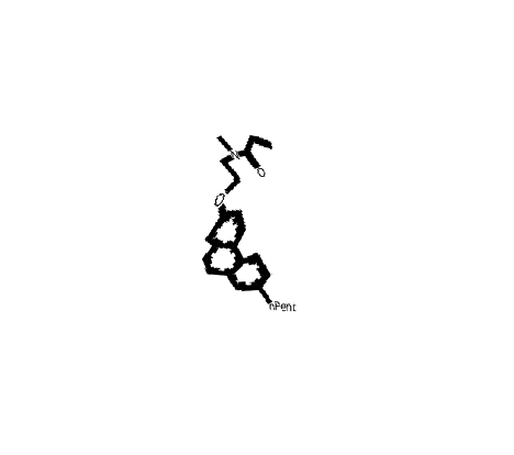 C=CC(=O)N(C)CCOc1ccc2c(ccc3cc(CCCCC)ccc32)c1